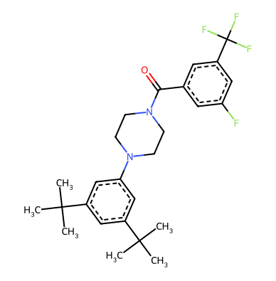 CC(C)(C)c1cc(N2CCN(C(=O)c3cc(F)cc(C(F)(F)F)c3)CC2)cc(C(C)(C)C)c1